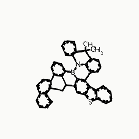 CC1(C)c2ccccc2N2B3c4cccc5c4C(Cc4c-5ccc5ccccc45)c4cc5sc6ccccc6c5c(c43)-c3cccc1c32